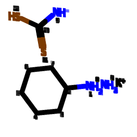 N.NC1CCCCC1.[K+].[NH-]C(=S)S